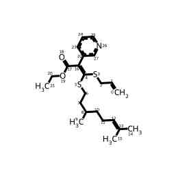 C=CCSC(SCCC(C)CCC=C(C)C)=C(C(=O)OCC)c1cccnc1